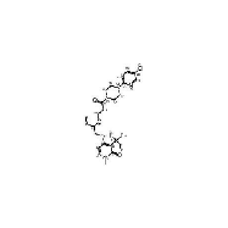 CCC(COc1cn[nH]c(=O)c1C(F)(F)F)OCCC(=O)N1CCN(c2ncc(Cl)cn2)CC1